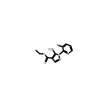 CCOC(=O)c1cnn(-c2ncccc2F)c1N